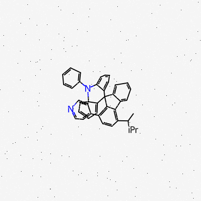 CC(C)C(C)c1ccc(-c2ccncc2)c2c1-c1ccccc1C21c2ccccc2N(c2ccccc2)c2ccccc21